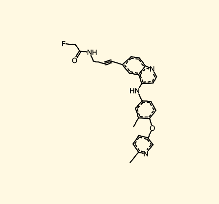 Cc1ccc(Oc2ccc(Nc3ccnc4ccc(C#CCNC(=O)CF)cc34)cc2C)cn1